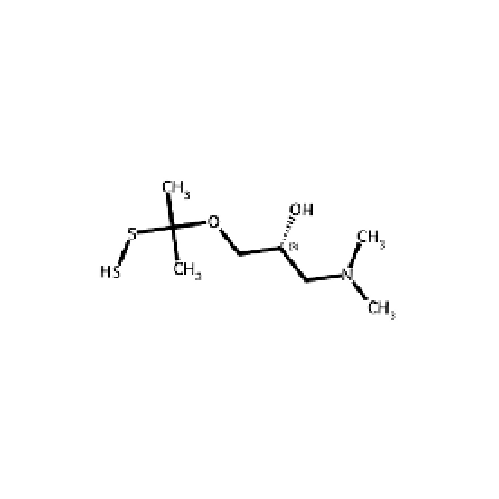 CN(C)C[C@@H](O)COC(C)(C)SS